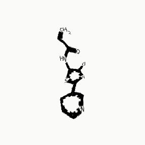 C=CC(=O)Nc1sc(-c2cccnc2)nc1Cl